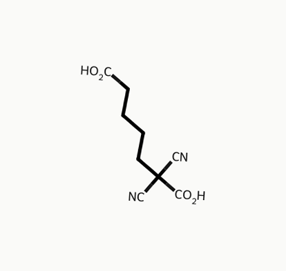 N#CC(C#N)(CCCCC(=O)O)C(=O)O